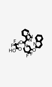 O=C(O)C(F)(F)F.O=C(c1nnn2ccccc12)N1CCC(F)(F)C(Oc2ccc3ccccc3n2)C1